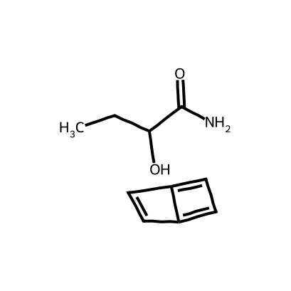 CCC(O)C(N)=O.c1cc2ccc1-2